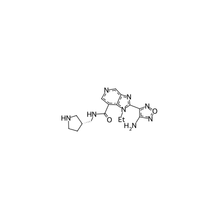 CCn1c(-c2nonc2N)nc2cncc(C(=O)NC[C@@H]3CCNC3)c21